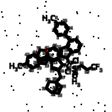 Cc1ccc(-c2cccc3c2C=C(CC24CCC(CC2)C4)[CH]3[Zr]([Cl])([Cl])([CH]2C(CC34CCC(CC3)C4)=Cc3c(-c4ccc(C)cc4)cccc32)[SiH](C)CCC(F)(F)F)cc1